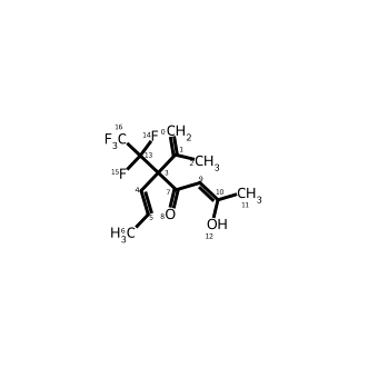 C=C(C)C(/C=C/C)(C(=O)/C=C(/C)O)C(F)(F)C(F)(F)F